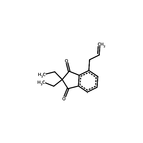 C=CCc1cc[c]c2c1C(=O)C(CC)(CC)C2=O